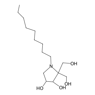 CCCCCCCCCN1CC(O)C(O)C1(CO)CO